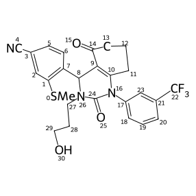 CSc1cc(C#N)ccc1C1C2=C(CCCC2=O)N(c2cccc(C(F)(F)F)c2)C(=O)N1CCCO